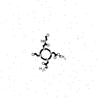 COC(=O)CN1CCN(CC=O)CCN(CC(=O)NCC=O)CCN(CC(=O)OC)CC1